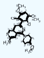 COc1cc(OC)c(Cl)c(-c2cc3cnc(N)cc3c(N3CCC(OC)CC3)n2)c1Cl